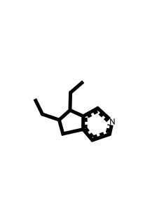 CCC1Cc2ccncc2C1CC